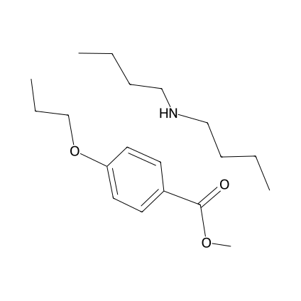 CCCCNCCCC.CCCOc1ccc(C(=O)OC)cc1